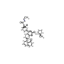 C/C=C/C(=O)C1[C@H]2CN(c3nc(OC[C@@H]4CCCN4C)nc4c3CCN(c3cccc5cccc(Cl)c35)C4)CC[C@@H]12